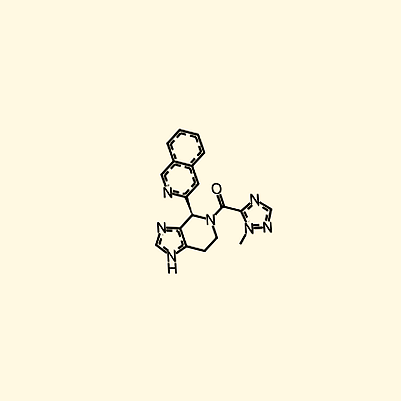 Cn1ncnc1C(=O)N1CCc2[nH]cnc2[C@H]1c1cc2ccccc2cn1